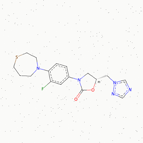 O=C1O[C@@H](Cn2cncn2)CN1c1ccc(N2CCCSCC2)c(F)c1